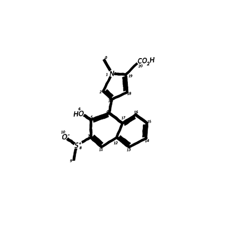 Cn1cc(-c2c(O)c([S+](C)[O-])cc3ccccc23)cc1C(=O)O